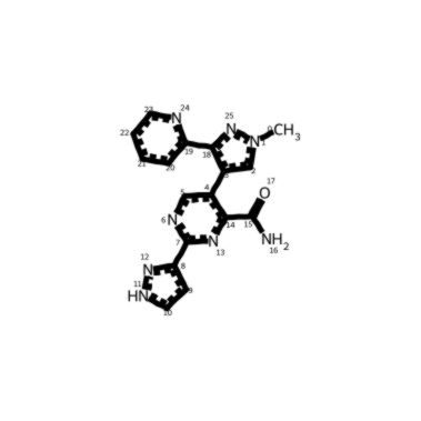 Cn1cc(-c2cnc(-c3cc[nH]n3)nc2C(N)=O)c(-c2ccccn2)n1